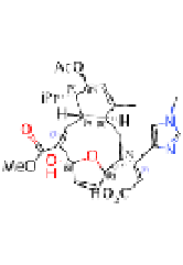 COC(=O)/C1=C/[C@@H]2[C@H](C(C)C)[C@@H](OC(C)=O)C=C(C)[C@H]2C[C@H](/C(=C\C(=O)O)c2cn(C)cn2)[C@@]2(C)C=C[C@]1(O)O2